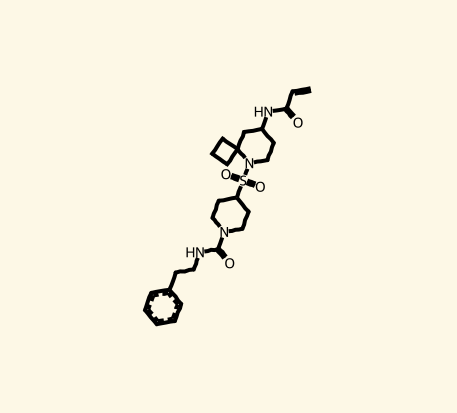 C=CC(=O)NC1CCN(S(=O)(=O)C2CCN(C(=O)NCCc3ccccc3)CC2)C2(CCC2)C1